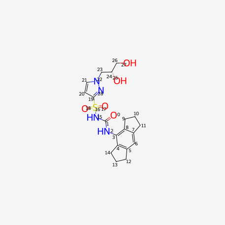 O=C(Nc1c2c(cc3c1CCC3)CCC2)NS(=O)(=O)c1ccn(C[C@@H](O)CO)n1